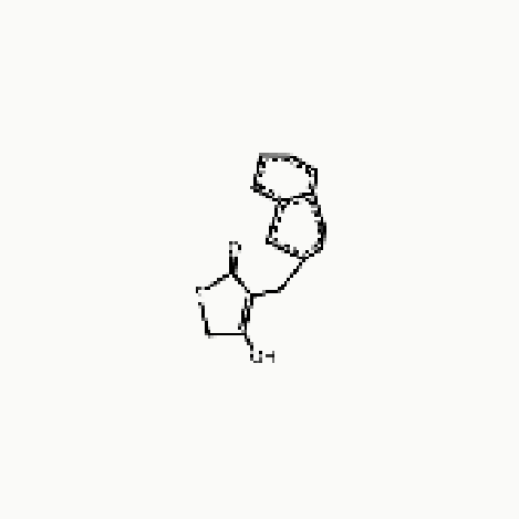 O=C1SCC(O)=C1Cc1ccc2ccccc2c1